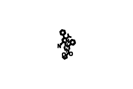 CC(C)c1nc(N2CCN(C(=O)c3ccco3)CC2c2ccccc2)c(C#N)cc1-c1ccccc1